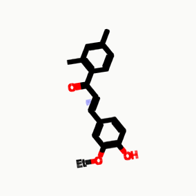 CCOc1cc(/C=C/C(=O)c2ccc(C)cc2C)ccc1O